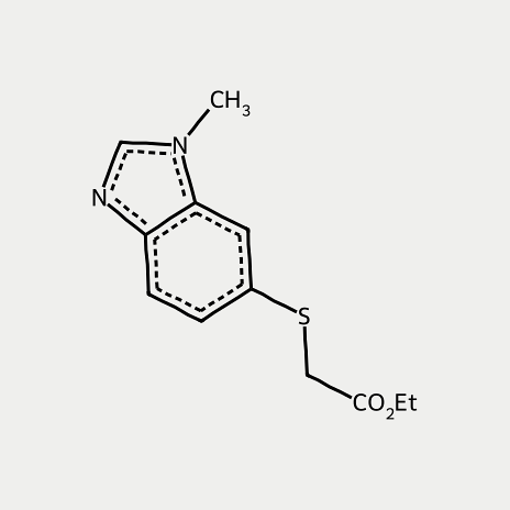 CCOC(=O)CSc1ccc2ncn(C)c2c1